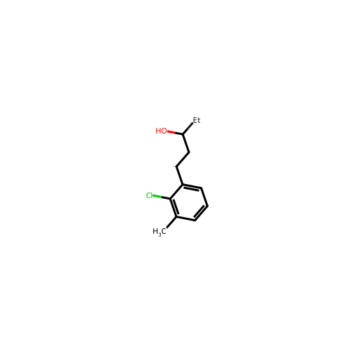 CCC(O)C[CH]c1cccc(C)c1Cl